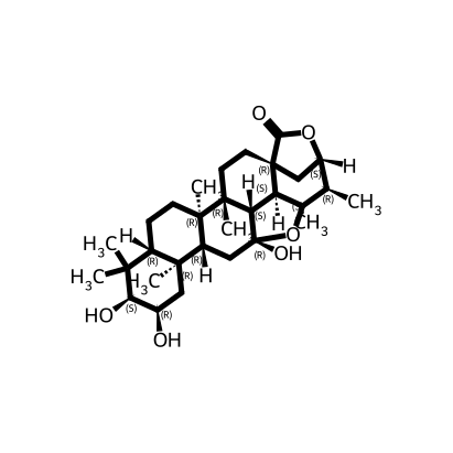 C[C@@H]1[C@@H]2C[C@@]3(CC[C@]4(C)[C@@H]5[C@@H]3[C@]1(C)O[C@]5(O)C[C@@H]1[C@@]3(C)C[C@@H](O)[C@@H](O)C(C)(C)[C@@H]3CC[C@]14C)C(=O)O2